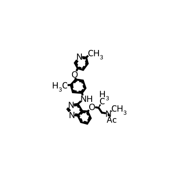 CC(=O)N(C)C[C@H](C)Oc1cccc2ncnc(Nc3ccc(Oc4ccc(C)nc4)c(C)c3)c12